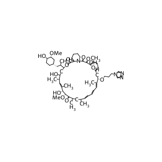 CO[C@@H]1C[C@H](C[C@@H](C)[C@@H]2CC(O)[C@H](C)/C=C(\C)[C@@H](O)[C@@H](OC)C(=O)[C@H](C)C[C@H](C)/C=C/C=C/C=C(\C)[C@@H](OCCCn3cnnc3)C[C@@H]3CC[C@@H](C)[C@@](O)(O3)C(=O)C(=O)N3CCCC[C@H]3C(=O)O2)CC[C@H]1O